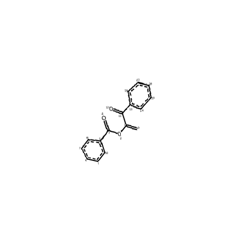 C=C(OC(=O)c1ccccc1)C(=O)c1ccccc1